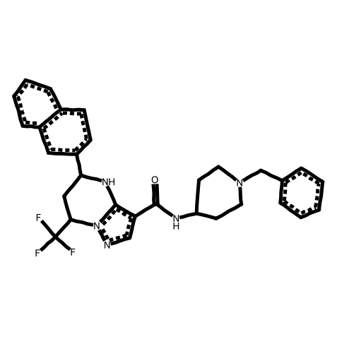 O=C(NC1CCN(Cc2ccccc2)CC1)c1cnn2c1NC(c1ccc3ccccc3c1)CC2C(F)(F)F